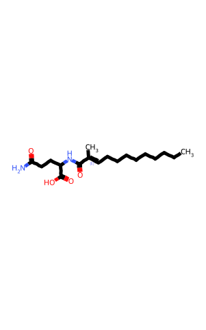 CCCCCCCCC/C=C(\C)C(=O)NC(CCC(N)=O)C(=O)O